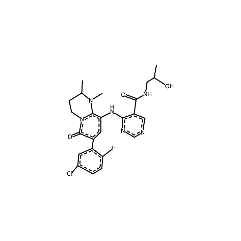 CC(O)CNC(=O)c1cncnc1Nc1cc(-c2cc(Cl)ccc2F)c(=O)n2c1N(C)C(C)CC2